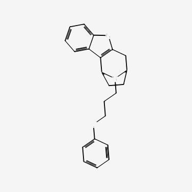 c1ccc(OCCCN2C3CCC2c2c([nH]c4ccccc24)C3)cc1